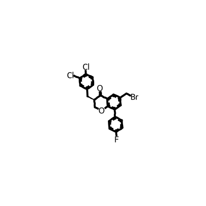 O=C1c2cc(CBr)cc(-c3ccc(F)cc3)c2OC[C@H]1Cc1ccc(Cl)c(Cl)c1